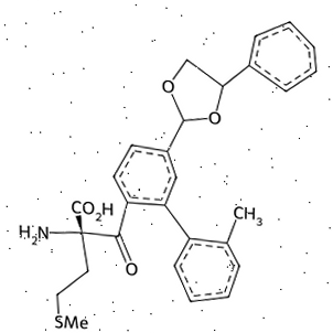 CSCC[C@@](N)(C(=O)O)C(=O)c1ccc(C2OCC(c3ccccc3)O2)cc1-c1ccccc1C